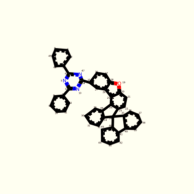 c1ccc(-c2nc(-c3ccccc3)nc(-c3ccc4oc5ccc6c(c5c4c3)-c3ccccc3C63c4ccccc4-c4ccccc43)n2)cc1